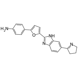 Nc1ccc(-c2ccc(-c3nc4ccc(C5=NCCC5)cc4[nH]3)o2)cc1